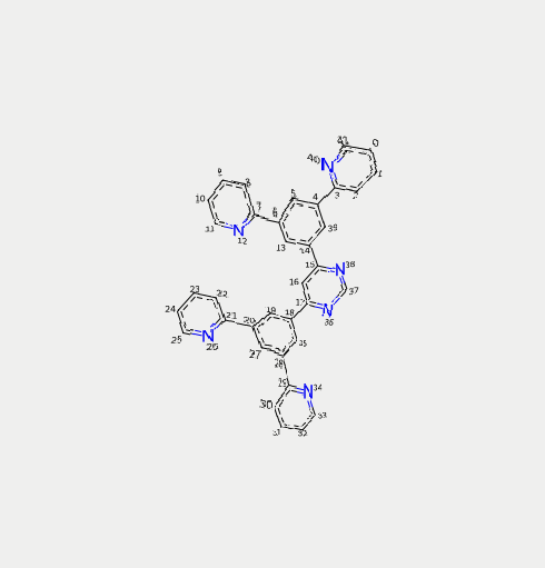 c1ccc(-c2cc(-c3ccccn3)cc(-c3cc(-c4cc(-c5ccccn5)cc(-c5ccccn5)c4)ncn3)c2)nc1